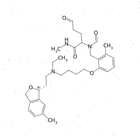 CCN(CCCCOc1cccc(C)c1CN(C=O)C(CCC=O)C(=O)NC)CC[C@H]1OCc2ccc(C)cc21